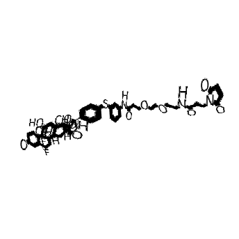 C[C@]12C=CC(=O)C=C1[C@@H](F)C[C@H]1[C@@H]3C[C@H]4O[C@@H](c5ccc(Sc6cccc(NC(=O)CCOCCOCCNC(=O)CCN7C(=O)C=CC7=O)c6)cc5)O[C@@]4([C@@H](O)C=O)[C@@]3(C)C[C@H](O)[C@@]12F